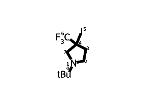 CC(C)(C)N1CCC(I)(C(F)(F)F)C1